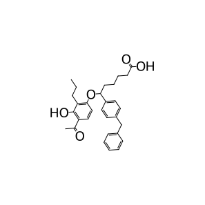 CCCc1c(OC(CCCCC(=O)O)c2ccc(Cc3ccccc3)cc2)ccc(C(C)=O)c1O